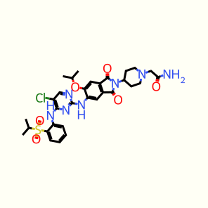 CC(C)Oc1cc2c(cc1Nc1ncc(Cl)c(Nc3ccccc3S(=O)(=O)C(C)C)n1)C(=O)N(C1CCN(CC(N)=O)CC1)C2=O